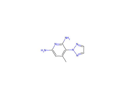 Cc1cc(N)nc(N)c1-n1nccn1